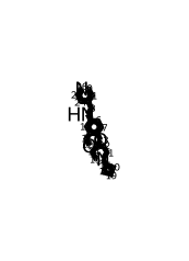 c1cc(CNc2ccc3c(c2)COC2(CCN(C4CCC4)CC2)O3)ccn1